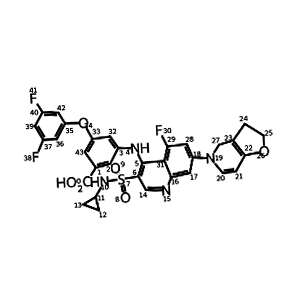 O=C(O)c1cc(Nc2c(S(=O)(=O)NC3CC3)cnc3cc(N4C=CC5=C(CCO5)C4)cc(F)c23)cc(Oc2cc(F)cc(F)c2)c1